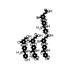 CCc1c(-c2ccc3c(c2)OCO3)[nH]c2ccc(Oc3c(Br)cc(CCC(=O)O)cc3Br)cc12.CCc1c(-c2ccc3c(c2)OCO3)[nH]c2ccc(Oc3c(Cl)cc(CCC(=O)O)cc3Cl)cc12.Cc1c(-c2ccc(O)cc2)[nH]c2ccc(Oc3c(Cl)cc(CC(=O)O)cc3Cl)cc12.Cc1c(-c2ccncc2)[nH]c2ccc(Oc3c(Br)cc(CCC(=O)O)cc3Br)cc12